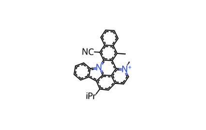 Cc1c2ccccc2c(C#N)c2c1c1c3c(cc[n+]1C)cc(C(C)C)c1c4ccccc4n2c13